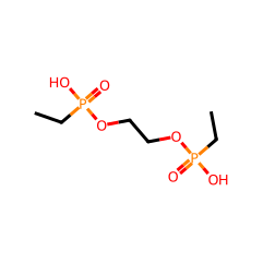 CCP(=O)(O)OCCOP(=O)(O)CC